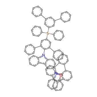 c1ccc(-c2cc(-c3ccccc3)cc(S(c3ccccc3)(c3ccccc3)c3cc(-c4ccccc4)c(-n4c5ccccc5c5cc(-n6c7ccccc7c7cccc(-c8ccccc8-c8cccc9c8oc8ccccc89)c76)ccc54)c(-c4ccccc4)c3)c2)cc1